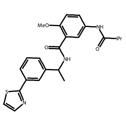 COc1ccc(NC(=O)C(C)C)cc1C(=O)NC(C)c1cccc(-c2nccs2)c1